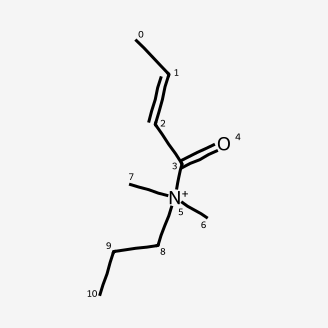 CC=CC(=O)[N+](C)(C)CCC